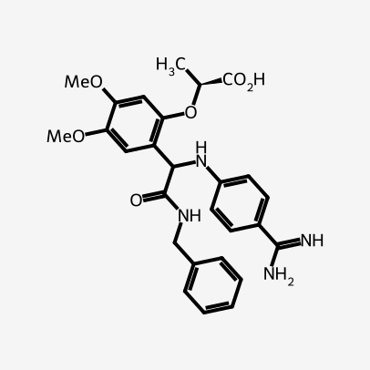 COc1cc(O[C@@H](C)C(=O)O)c(C(Nc2ccc(C(=N)N)cc2)C(=O)NCc2ccccc2)cc1OC